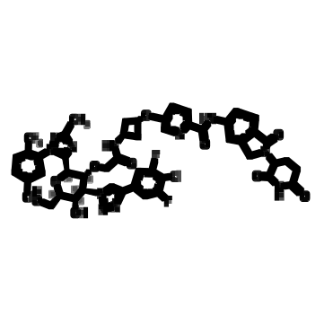 Cc1nc([C@@H]2O[C@H](CO)[C@H](O)[C@H](n3cc(-c4cc(F)c(Cl)c(F)c4)nn3)[C@H]2OCC(=O)N[C@H]2C[C@H](Oc3ccc(C(=O)Nc4ccc5c(c4)CN(C4CCC(=O)NC4=O)C5=O)nc3)C2)n(-c2cc(Cl)ccc2C(F)(F)F)n1